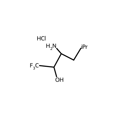 CC(C)CC(N)C(O)C(F)(F)F.Cl